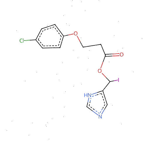 O=C(CCOc1ccc(Cl)cc1)OC(I)c1cnc[nH]1